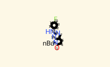 CCCCn1c(=O)ccc2cnc(Nc3ccc(F)cc3)nc21